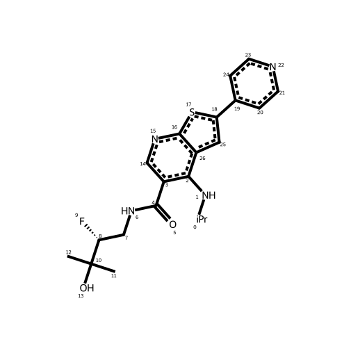 CC(C)Nc1c(C(=O)NC[C@@H](F)C(C)(C)O)cnc2sc(-c3ccncc3)cc12